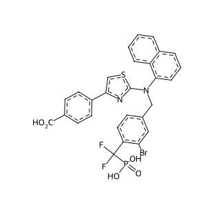 O=C(O)c1ccc(-c2csc(N(Cc3ccc(C(F)(F)P(=O)(O)O)c(Br)c3)c3cccc4ccccc34)n2)cc1